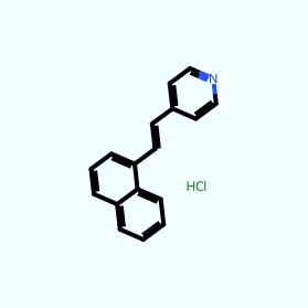 C(=Cc1cccc2ccccc12)c1ccncc1.Cl